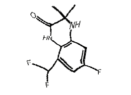 CC1(C)Nc2cc(F)cc(C(F)F)c2NC1=O